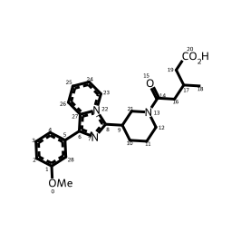 COc1cccc(-c2nc(C3CCCN(C(=O)CC(C)CC(=O)O)C3)n3ccccc23)c1